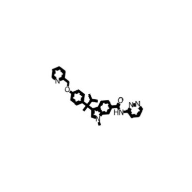 CC(C)C(C)(c1ccc(OCc2ccccn2)cc1)c1cn(C)c2cc(C(=O)Nc3cccnn3)ccc12